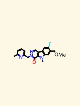 COCc1cc2c(cc1F)c1cnn(Cc3cccc(C)n3)c(=O)c1n2C